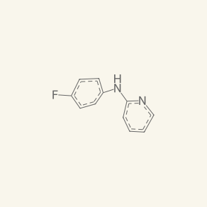 Fc1ccc(Nc2ccccn2)cc1